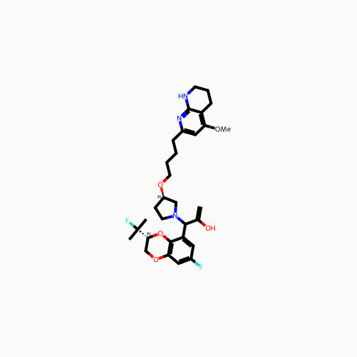 C=C(O)C(c1cc(F)cc2c1O[C@@H](C(C)(C)F)CO2)N1CC[C@@H](OCCCCc2cc(OC)c3c(n2)NCCC3)C1